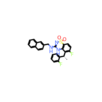 C[C@H](c1ccccc1F)c1c(F)ccc2c1NC(NCc1ccc3ccccc3c1)=NS2(=O)=O